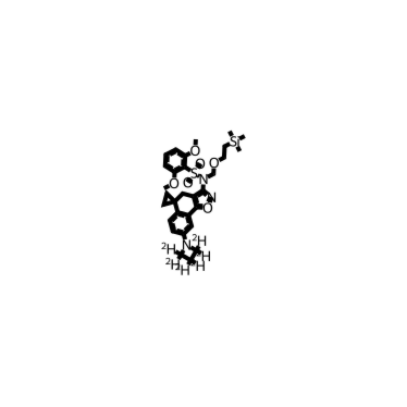 [2H]C1([2H])N(c2ccc3c(c2)-c2onc(N(COCC[Si](C)(C)C)S(=O)(=O)c4c(OC)cccc4OC)c2CC32CC2)C([2H])([2H])C1([2H])[2H]